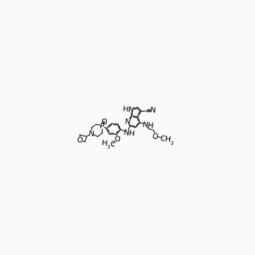 COCCNc1cc(Nc2ccc(P3(=O)CCN(C4COC4)CC3)cc2OC)nc2[nH]cc(C#N)c12